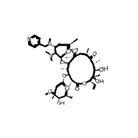 CC[C@H]1OC(=O)[C@H](C)[C@@H](O[C@H]2C[C@@](C)(OC)[C@@H](O)[C@H](C)O2)[C@H](C)[C@@H](O[C@@H]2O[C@H](C)C[C@@H](N(C)Cc3ccncc3)[C@@H]2N(C)C)[C@@](C)(OC)C[C@@H](C)C(=O)[C@H](C)[C@@H](O)[C@]1(C)O